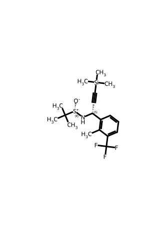 Cc1c([C@@H](C#C[Si](C)(C)C)N[S@@+]([O-])C(C)(C)C)cccc1C(F)(F)F